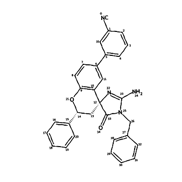 [C-]#[N+]c1cccc(-c2ccc3c(c2)[C@@]2(C[C@H](c4ccccc4)O3)N=C(N)N(Cc3ccccc3)C2=O)c1